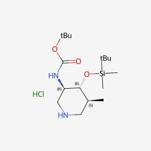 C[C@H]1CNC[C@@H](NC(=O)OC(C)(C)C)[C@@H]1O[Si](C)(C)C(C)(C)C.Cl